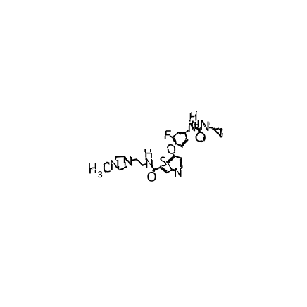 CN1CCN(CCNC(=O)c2cc3nccc(Oc4ccc(NC(=O)NC5CC5)cc4F)c3s2)CC1